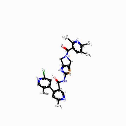 COc1cnc(Cl)cc1-c1cc(C)ncc1C(=O)Nc1nc2c(s1)CN(C(=O)c1cc(C)c(C(F)(F)F)nc1C)C2